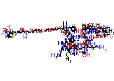 CC(C)[C@H](NC(=O)[C@@H](CCCCN)NC(=O)CNC(=O)[C@@H](Cc1ccccc1)NC(=O)[C@@H](Cc1ccccc1)NC(=O)CCOCCOCCOCCOCCOCCNC(=O)CCCC[C@@H]1SC[C@H]2NC(=O)N[C@@H]12)C(=O)NC(C(=O)N[C@@H](CC(=O)O)C(=O)N[C@H](CCCCN)C(=O)N[C@@H](CO)C(=O)N[C@H](CN)C(=O)NC(C(=O)N[C@@H](C(=O)N[C@@H](CO)C(=O)N[C@@H](C(N)=O)C(C)C)C(C)C)[C@@H](C)O)[C@@H](C)O